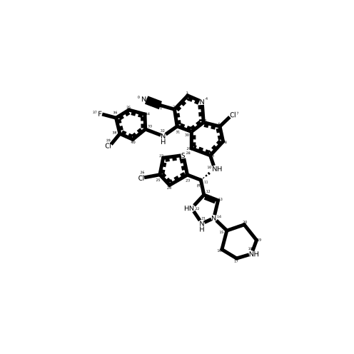 N#Cc1cnc2c(Cl)cc(N[C@H](C3=CN(C4CCNCC4)NN3)c3cc(Cl)cs3)cc2c1Nc1ccc(F)c(Cl)c1